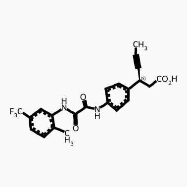 CC#C[C@@H](CC(=O)O)c1ccc(NC(=O)C(=O)Nc2cc(C(F)(F)F)ccc2C)cc1